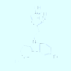 C=C(C)/C=N\C(=C/N)CCn1c2c(c3cc(CC)ccc31)CN(C)CC2